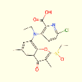 CCN(c1ccc(Cl)nc1C(=O)O)c1cc(C)cc2c(=O)c(C)c([S+]([O-])CC)oc12